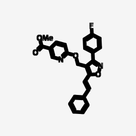 COC(=O)c1ccc(OCc2c(-c3ccc(F)cc3)noc2C=Cc2ccccc2)nc1